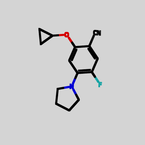 N#Cc1cc(F)c(N2CCCC2)cc1OC1CC1